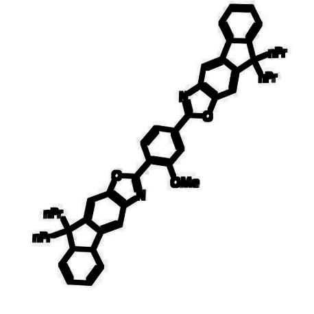 CCCC1(CCC)c2ccccc2-c2cc3nc(-c4ccc(-c5nc6cc7c(cc6o5)C(CCC)(CCC)C5C=CC=CC75)c(OC)c4)oc3cc21